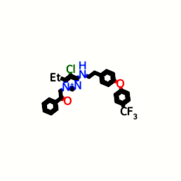 CCc1c(Cl)c(NCCc2ccc(Oc3ccc(C(F)(F)F)cc3)cc2)nc[n+]1CC(=O)c1ccccc1